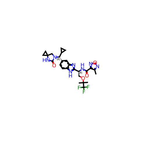 Cc1nonc1C(=O)N[C@@H](COC(C)(C)C(F)(F)F)c1nc2cc([C@@H](C3CC3)N3CC4(CC4)NC3=O)ccc2[nH]1